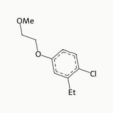 CCc1cc(OCCOC)ccc1Cl